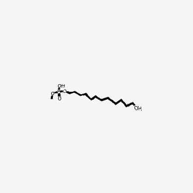 COP(=O)(O)OCCCCCCCCCCCCO